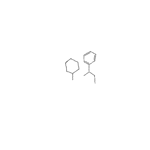 CC1CCCCC1.CCC(C)c1ccccc1